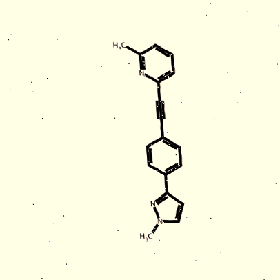 Cc1cccc(C#Cc2ccc(-c3ccn(C)n3)cc2)n1